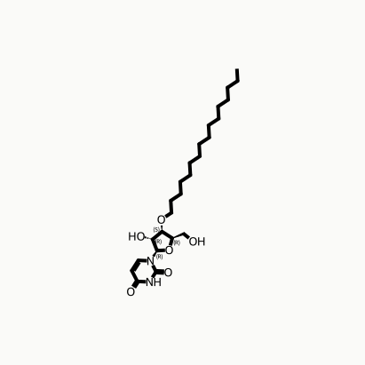 CCCCCCCCCCCCCCCCO[C@H]1[C@@H](O)[C@H](n2ccc(=O)[nH]c2=O)O[C@@H]1CO